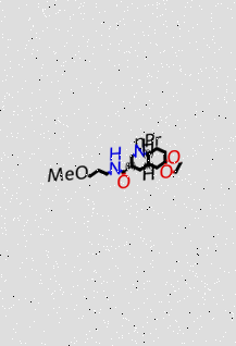 CCCN1C[C@H](C(=O)NCCCOC)C[C@@H]2CC3(CC[C@H]21)OCCO3